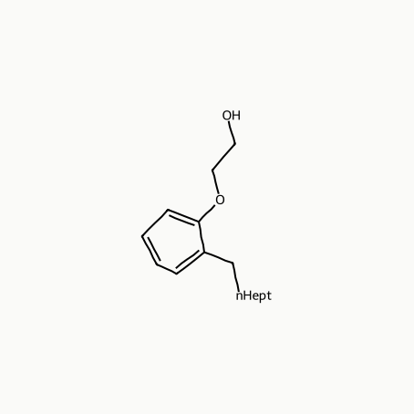 CCCCCCCCc1ccccc1OCCO